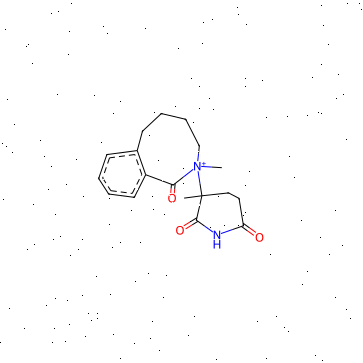 CC1([N+]2(C)CCCCc3ccccc3C2=O)CCC(=O)NC1=O